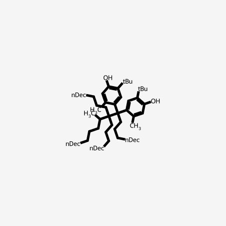 CCCCCCCCCCCCCC(C)C(CCCCCCCCCCCCC)(CCCCCCCCCCCCC)C(CCCCCCCCCCCCC)(c1cc(C(C)(C)C)c(O)cc1C)c1cc(C(C)(C)C)c(O)cc1C